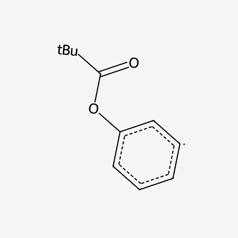 CC(C)(C)C(=O)Oc1c[c]ccc1